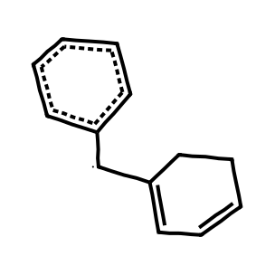 [CH](C1=CC=CCC1)c1ccccc1